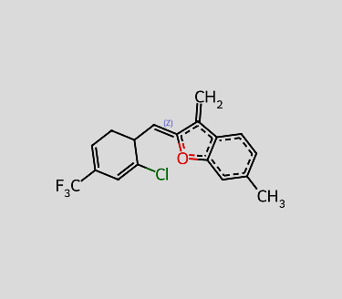 C=c1/c(=C/C2CC=C(C(F)(F)F)C=C2Cl)oc2cc(C)ccc12